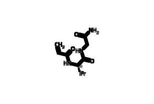 C=CC(=O)N[C@H](C(=O)NCC(N)=O)C(C)C